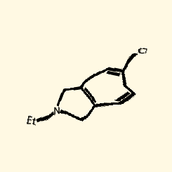 CCN1Cc2ccc(Cl)cc2C1